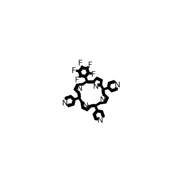 Fc1c(F)c(F)c(C2=C3C=CC(=N3)C(c3ccncc3)=C3C=CC(=N3)C(c3ccncc3)=C3C=CC(=N3)C(c3ccncc3)=C3C=CC2=N3)c(F)c1F